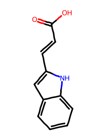 O=C(O)C=Cc1cc2ccccc2[nH]1